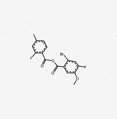 COc1cc(C(=O)OC(=O)c2ccc(C)cc2F)c(Br)cc1F